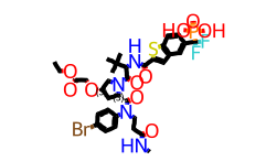 CCOC(=O)CO[C@H]1C[C@@H](C(=O)N(CCC(=O)NC)c2ccc(Br)cc2)N(C(=O)C(NC(=O)c2cc3cc(C(F)(F)P(=O)(O)O)ccc3s2)C(C)(C)C)C1